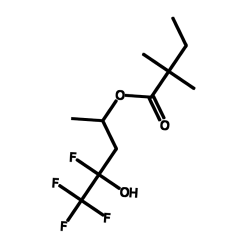 CCC(C)(C)C(=O)OC(C)CC(O)(F)C(F)(F)F